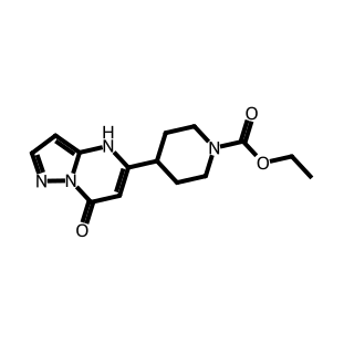 CCOC(=O)N1CCC(c2cc(=O)n3nccc3[nH]2)CC1